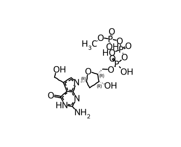 COP(=O)(O)OP(=O)(O)OP(=O)(O)OC[C@H]1O[C@@H](n2cc(CO)c3c(=O)[nH]c(N)nc32)C[C@H]1O